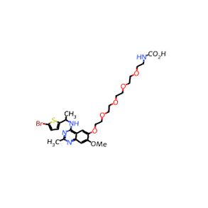 COc1cc2nc(C)nc(NC(C)c3ccc(Br)s3)c2cc1OCCOCCOCCOCCOCCNC(=O)O